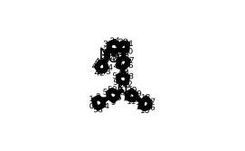 c1ccc(-c2ccc(N(c3ccc(-c4ccccc4)cc3)c3ccc(-c4ccc(-c5cccc6ccc7nc(-c8ccccc8)oc7c56)cc4)cc3)cc2)cc1